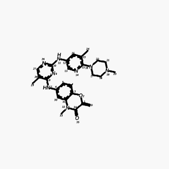 C=C1Oc2ccc(Nc3nc(Nc4cnc(N5CCN(C)CC5)c(C)c4)ncc3C)cc2N(C)C1=O